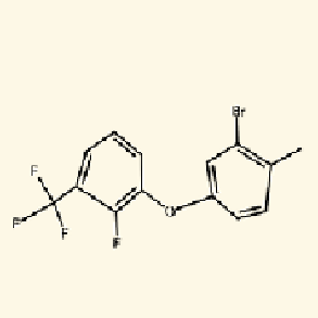 Cc1ccc(Oc2cccc(C(F)(F)F)c2F)cc1Br